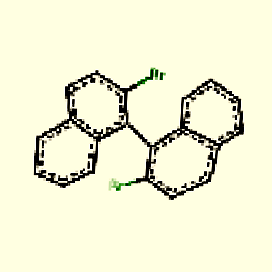 Brc1ccc2ccccc2c1-c1c(Br)ccc2ccccc12